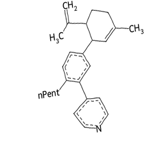 C=C(C)C1CCC(C)=CC1c1ccc(CCCCC)c(-c2ccncc2)c1